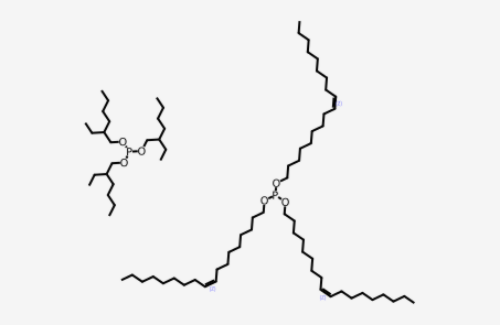 CCCCC(CC)COP(OCC(CC)CCCC)OCC(CC)CCCC.CCCCCCCC/C=C\CCCCCCCCOP(OCCCCCCCC/C=C\CCCCCCCC)OCCCCCCCC/C=C\CCCCCCCC